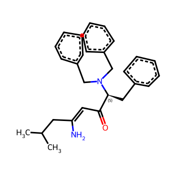 CC(C)CC(N)=CC(=O)[C@H](Cc1ccccc1)N(Cc1ccccc1)Cc1ccccc1